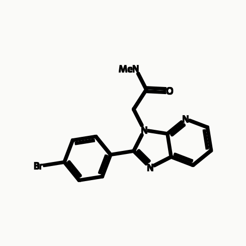 CNC(=O)Cn1c(-c2ccc(Br)cc2)nc2cccnc21